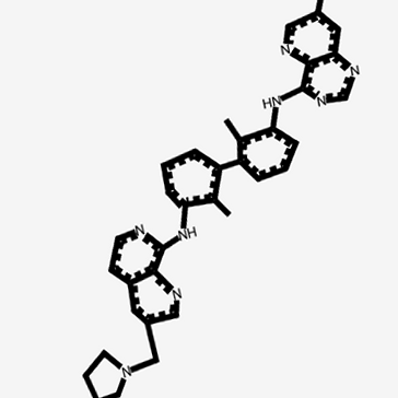 Cc1c(Nc2nccc3cc(CN4CCCC4)cnc23)cccc1-c1cccc(Nc2ncnc3cc(Br)cnc23)c1C